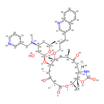 CC[C@H]1OC(=O)[C@H](C)C(=O)[C@H](C)[C@@H](O[C@@H]2O[C@H](C)C[C@H](N(C)Cc3cccnc3)[C@H]2O)[C@](C)(OC/C=C/c2cnc3ccccc3c2)C[C@@H](C)C(=O)[C@H](C)[C@H]2NC(=O)O[C@@]21C